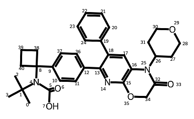 CC(C)(C)N(C(=O)O)C1(c2ccc(-c3nc4c(cc3-c3ccccc3)N(C3CCOCC3)C(=O)CO4)cc2)CCC1